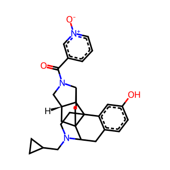 O=C(c1ccc[n+]([O-])c1)N1C[C@H]2CC34CCC1C2C31CCN(CC2CC2)C4Cc2ccc(O)cc21